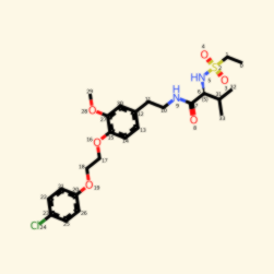 CCS(=O)(=O)N[C@H](C(=O)NCCc1ccc(OCCOc2ccc(Cl)cc2)c(OC)c1)C(C)C